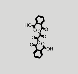 O=C(OC(=O)c1ccccc1C(=O)O)C(=O)OC(=O)c1ccccc1C(=O)O